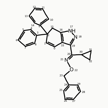 C1=CC(c2ccccc2)(c2ccccc2)Cc2[nH]nc(C(=NOCc3ccccc3)C3CC3)c21